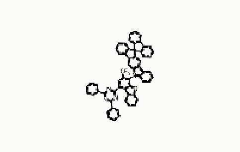 FC(F)(F)c1cc(-c2nc(-c3ccccc3)nc(-c3ccccc3)n2)c2c(oc3ccccc32)c1-n1c2ccccc2c2cc3c(cc21)-c1ccccc1C31c2ccccc2-c2ccccc21